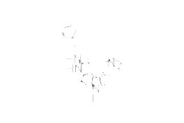 S=C(NCCCc1ccccc1)Nc1ccc2[nH]cc(C3CCN4CCCC4C3)c2c1